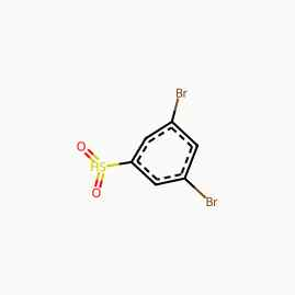 O=[SH](=O)c1cc(Br)cc(Br)c1